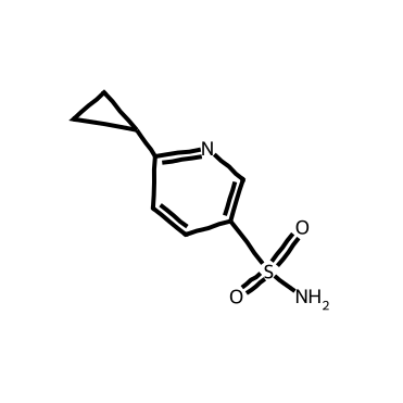 NS(=O)(=O)c1ccc(C2CC2)nc1